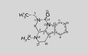 CCN1CC2c3c(c4ccccc4n3C1=O)CCN2C